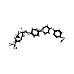 COc1ccc(OC2CCN(c3ccc(OC[C@@]4(C)Cn5cc([N+](=O)[O-])nc5O4)cc3)CC2)cc1